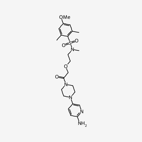 COc1cc(C)c(S(=O)(=O)N(C)CCOCC(=O)N2CCN(c3ccc(N)nc3)CC2)c(C)c1